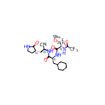 C[C@@H](OC(C)(C)C)[C@H](NC(=O)C(F)(F)F)C(=O)N[C@@H](CC1CCCCC1)C(=O)N[C@H](C#N)C[C@@H]1CCNC1=O